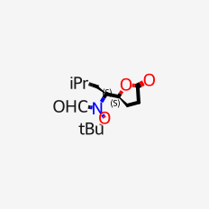 CC(C)C[C@@H]([C@@H]1CCC(=O)O1)N(C=O)OC(C)(C)C